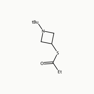 CCC(=O)SC1CN(C(C)(C)C)C1